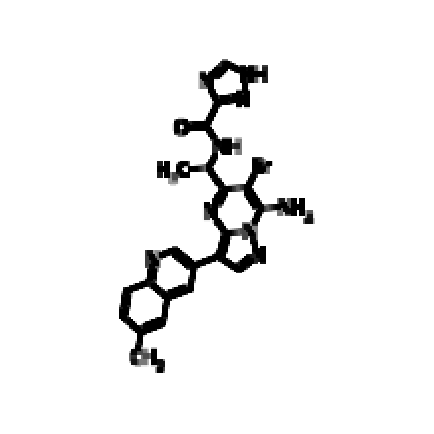 Cc1ccc2ncc(-c3cnn4c(N)c(Br)c(C(C)NC(=O)c5nc[nH]n5)nc34)cc2c1